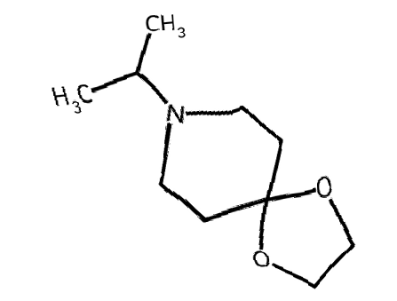 CC(C)N1CCC2(CC1)OCCO2